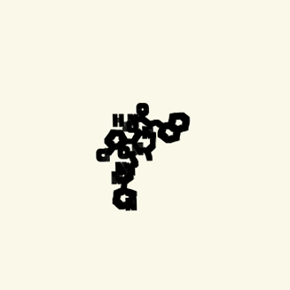 CC1CCN(C(Cc2cccc3ccccc23)C(N)=O)C(=O)C(c2cccc(Cl)c2)N1C(=O)Cn1cc(-c2cccnc2)nn1